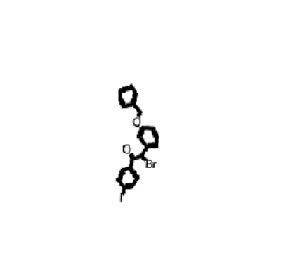 O=C(c1ccc(I)cc1)C(Br)c1cccc(OCc2ccccc2)c1